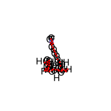 CC[C@]1(O)C(=O)OCc2c1cc1n(c2=O)Cc2c-1nc1cc(F)c(C)c3c1c2[C@H](NC(=O)COCNC(=O)CNC(=O)[C@H](Cc1ccccc1)NC(=O)CNC(=O)CNC(=O)COCCOCCOCCOCCOc1ccc(/C=C/S(=O)(=O)F)cc1)CC3